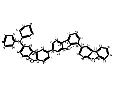 c1ccc(N(c2ccccc2)c2ccc3oc4ccc(-c5ccc6c(c5)oc5c(-c7ccc8oc9ccccc9c8c7)cccc56)cc4c3c2)cc1